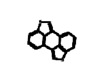 [c]1sc2cccc3c4[c]sc5cccc(c1c23)c54